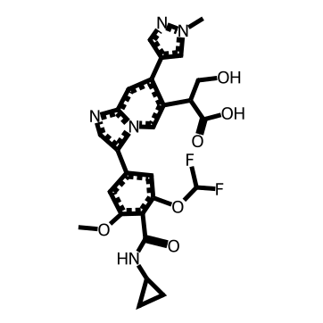 COc1cc(-c2cnc3cc(-c4cnn(C)c4)c(C(CO)C(=O)O)cn23)cc(OC(F)F)c1C(=O)NC1CC1